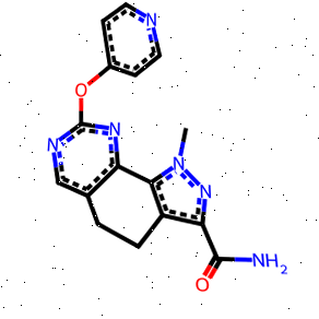 Cn1nc(C(N)=O)c2c1-c1nc(Oc3ccncc3)ncc1CC2